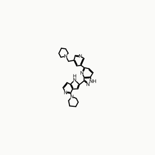 c1cc2[nH]c(-c3n[nH]c4ccc(-c5cncc(CN6CCCCC6)c5)nc34)cc2c(N2CCCCC2)n1